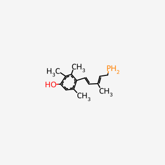 CC(=CCP)/C=C/c1c(C)cc(O)c(C)c1C